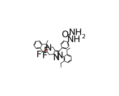 CCc1cccc(CC)c1-n1nc2c(c1-c1ccc(NC(N)=O)cc1)CN(C(C)c1ccccc1C(F)(F)F)CC2